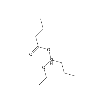 CCCC(=O)O[SiH](CCC)OCC